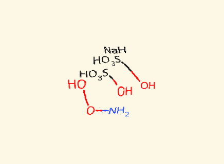 NOO.O=S(=O)(O)O.O=S(=O)(O)O.[NaH]